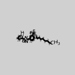 CCCCCCCCOc1ccc(-c2noc(C3CCCN3)n2)cc1C(F)(F)F